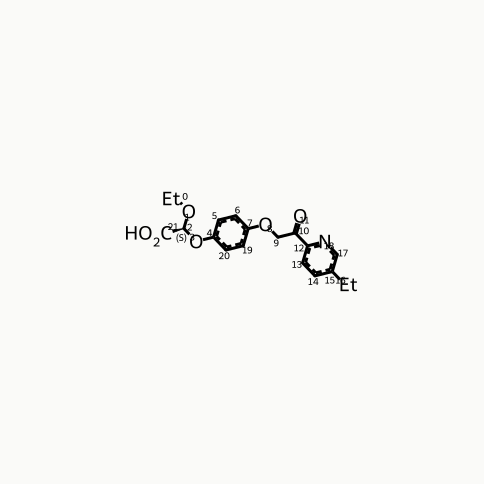 CCO[C@@H](Oc1ccc(OCC(=O)c2ccc(CC)cn2)cc1)C(=O)O